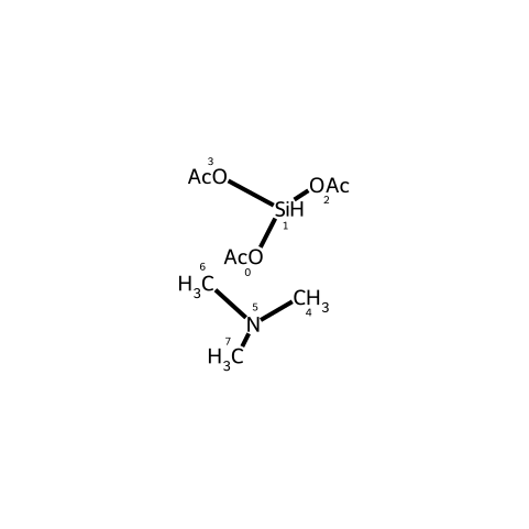 CC(=O)O[SiH](OC(C)=O)OC(C)=O.CN(C)C